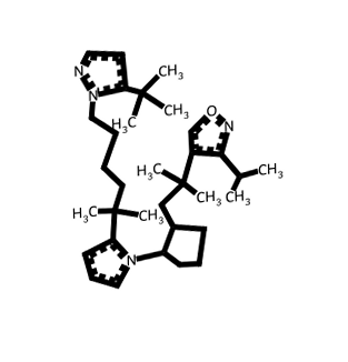 CC(C)c1nocc1C(C)(C)CC1CCCC1n1cccc1C(C)(C)CCCCn1nccc1C(C)(C)C